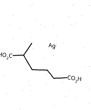 CC(CCCC(=O)O)C(=O)O.[Ag]